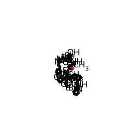 Cc1ncsc1-c1ccc(C(C)NC(=O)[C@@H]2C[C@@H](O)CN2C(=O)C(n2cc(CCc3ccc(Oc4cccc(-c5ccc(N6CCc7cccc(C(=O)Nc8nc9ccccc9s8)c7C6)nc5C(=O)OC(C)(C)C)c4C)cc3)nn2)C(C)(C)C)cc1